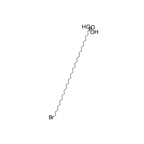 O=P(O)(O)CCCCCCCCCCCCCCCCCCCCCCCCCCCCCCCCBr